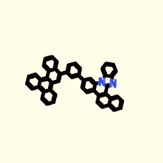 c1cc(-c2ccc3c4ccc5ccccc5c4c4nc5ccccc5n4c3c2)cc(-c2cc3c4ccccc4c4ccccc4c3c3ccccc23)c1